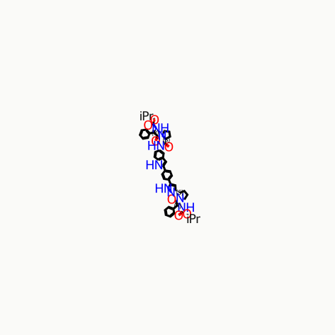 CC(C)OC(=O)N[C@@H](C(=O)N1CCC[C@H]1C(=O)Nc1ccc2[nH]c(-c3ccc(-c4cc([C@@H]5CCCN5C(=O)[C@H](NC(=O)OC(C)C)c5ccccc5)n[nH]4)cc3)cc2c1)c1ccccc1